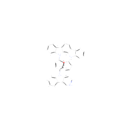 c1ccc(-n2c3ccccc3c3ccc4c5ccccc5n(-c5ccc(-n6c7ccccc7c7cnccc76)cc5)c4c32)cc1